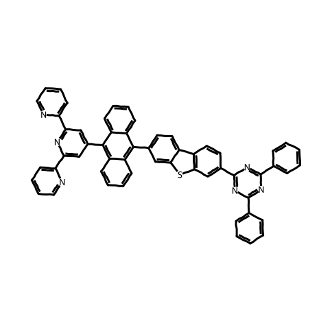 c1ccc(-c2nc(-c3ccccc3)nc(-c3ccc4c(c3)sc3cc(-c5c6ccccc6c(-c6cc(-c7ccccn7)nc(-c7ccccn7)c6)c6ccccc56)ccc34)n2)cc1